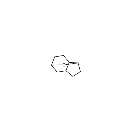 C1CC2C3CCC2CC1C3